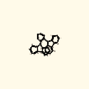 [c]1cccc(C2c3ccccc3-c3ccccc32)c1C1c2ccccc2-c2ccccc21